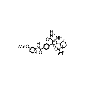 C=C(F)C(=O)N1CCCC[C@H]1c1nc(-c2ccc(C(=O)Nc3cc(OC)ccn3)cc2)c(C(N)=O)n1N